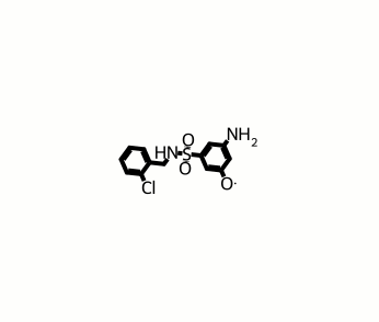 Nc1cc([O])cc(S(=O)(=O)NCc2ccccc2Cl)c1